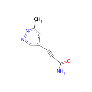 Cc1cc(C#CC(N)=O)cnn1